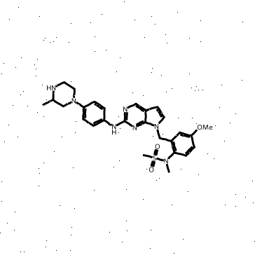 COc1ccc(N(C)S(C)(=O)=O)c(Cn2ccc3cnc(Nc4ccc(N5CCNC(C)C5)cc4)nc32)c1